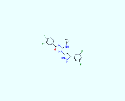 O=C(/N=C(/NC1CC1)NC1CC(c2cc(F)cc(F)c2)NN1)c1ccc(F)c(F)c1